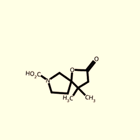 CC1(C)CC(=O)OC12CCN(C(=O)O)C2